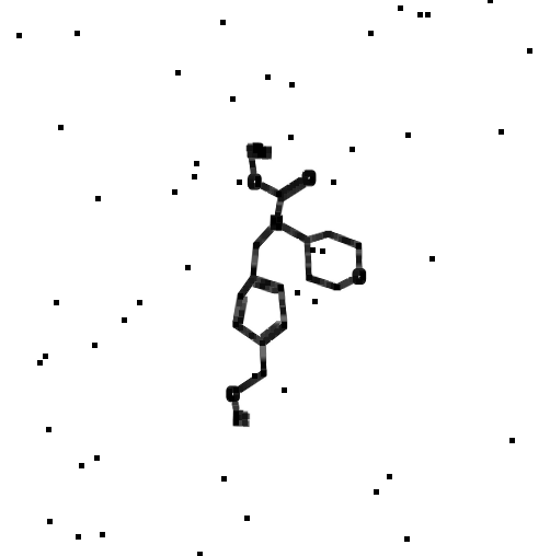 CCOCc1ccc(CN(C(=O)OC(C)(C)C)C2CCOCC2)cc1